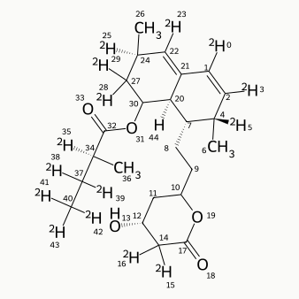 [2H]C1=C([2H])[C@]([2H])(C)[C@H](CCC2C[C@@H](O)C([2H])([2H])C(=O)O2)[C@@H]2C1=C([2H])[C@]([2H])(C)C([2H])([2H])C2OC(=O)[C@@]([2H])(C)C([2H])([2H])C([2H])([2H])[2H]